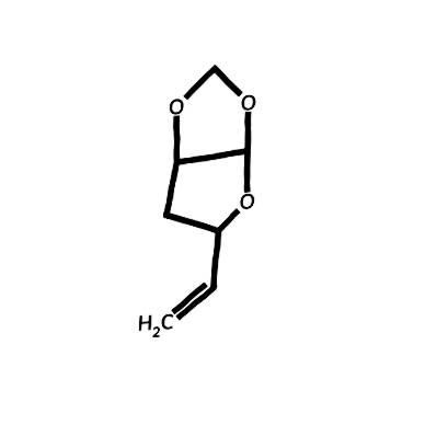 C=CC1CC2OCOC2O1